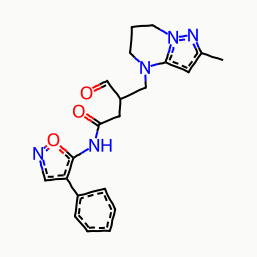 Cc1cc2n(n1)CCCN2CC(C=O)CC(=O)Nc1oncc1-c1ccccc1